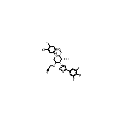 N#CCO[C@H]1C[SH](c2ccc(Cl)c(Cl)c2)[C@H](CO)[C@H](O)[C@@H]1n1cc(-c2cc(F)c(F)c(F)c2)nn1